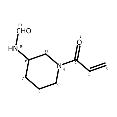 C=CC(=O)N1CCCC(NC=O)C1